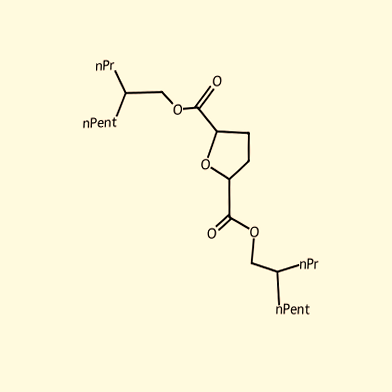 CCCCCC(CCC)COC(=O)C1CCC(C(=O)OCC(CCC)CCCCC)O1